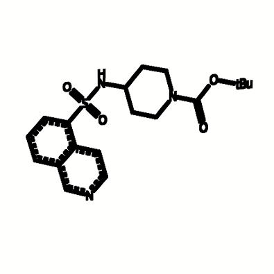 CC(C)(C)OC(=O)N1CCC(NS(=O)(=O)c2cccc3cnccc23)CC1